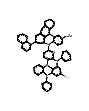 CC(C)(C)c1ccc(N(c2cccc(-c3cccc4ccccc34)c2)c2ccc3c(n2)N(c2ccccc2)c2cc(C(C)(C)C)cc4c2B3c2ccccc2N4c2ccccc2)c(-c2cccc3ccccc23)c1